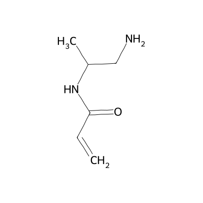 C=CC(=O)NC(C)CN